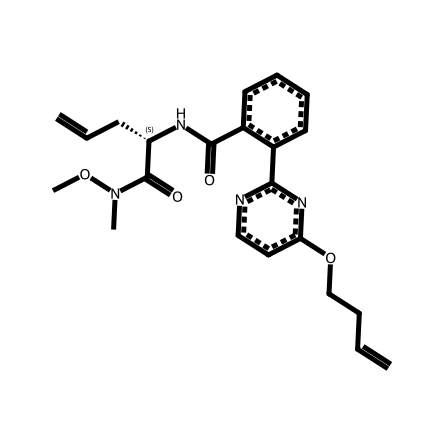 C=CCCOc1ccnc(-c2ccccc2C(=O)N[C@@H](CC=C)C(=O)N(C)OC)n1